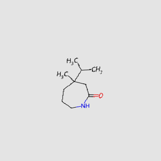 CC(C)C1(C)CCCNC(=O)C1